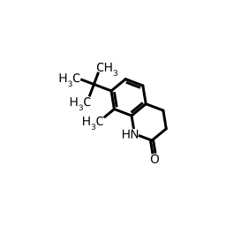 Cc1c(C(C)(C)C)ccc2c1NC(=O)CC2